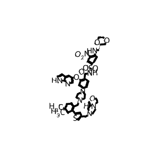 CC1(C)CCC(CN2CCN(c3ccc(C(=O)NS(=O)(=O)c4ccc(NC[C@H]5COCCO5)c([N+](=O)[O-])c4)c(Oc4cnc5[nH]ccc5c4)c3)CC2)=C(c2cc(CN3CCN4CCOC[C@H]4C3)cs2)C1